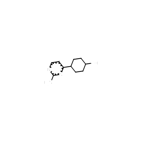 Nc1nccc(C2CCC(O)CC2)n1